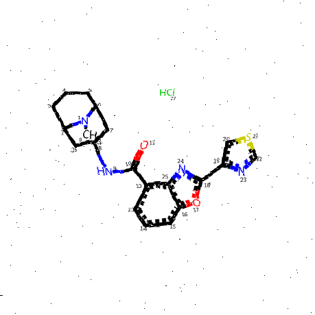 CN1C2CCCC1CC(NC(=O)c1cccc3oc(-c4cscn4)nc13)C2.Cl